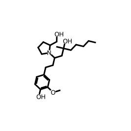 CCCCCC(C)(O)CC(CCc1ccc(O)c(OC)c1)N1CCCC1CO